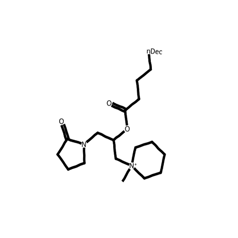 CCCCCCCCCCCCCC(=O)OC(CN1CCCC1=O)C[N+]1(C)CCCCC1